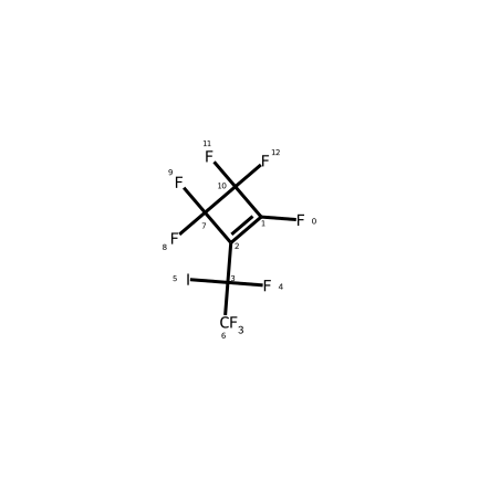 FC1=C(C(F)(I)C(F)(F)F)C(F)(F)C1(F)F